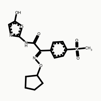 CS(=O)(=O)c1ccc(/C(=N\OC2CCCC2)C(=O)Nc2ncc(O)s2)cc1